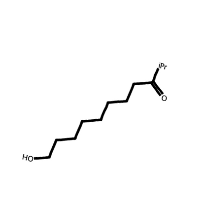 CC(C)C(=O)CCCCCCCCO